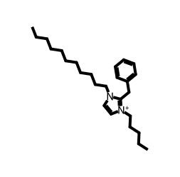 CCCCCCCCCCCn1cc[n+](CCCCC)c1Cc1ccccc1